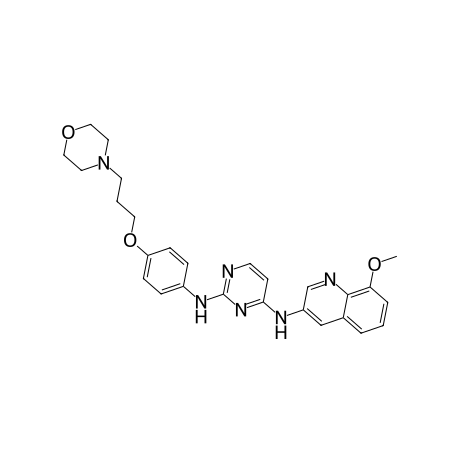 COc1cccc2cc(Nc3ccnc(Nc4ccc(OCCCN5CCOCC5)cc4)n3)cnc12